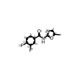 Cc1cnc(NC(=O)c2ccc(F)c(F)c2)o1